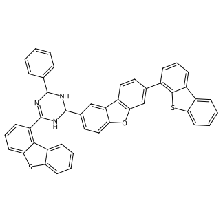 c1ccc(C2N=C(c3cccc4sc5ccccc5c34)NC(c3ccc4oc5cc(-c6cccc7c6sc6ccccc67)ccc5c4c3)N2)cc1